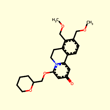 COCc1ccc2c(c1COC)CCn1c(OCC3CCCCO3)cc(=O)cc1-2